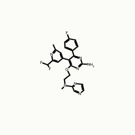 Cc1cc(-c2c(OCCN(C)c3cnccn3)nc(N)nc2-c2ccc(F)cc2)cc(C(F)F)n1